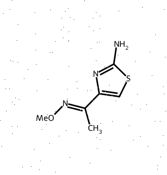 CO/N=C(\C)c1csc(N)n1